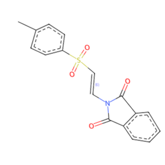 Cc1ccc(S(=O)(=O)/C=C/N2C(=O)c3ccccc3C2=O)cc1